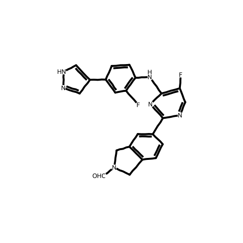 O=CN1Cc2ccc(-c3ncc(F)c(Nc4ccc(-c5cn[nH]c5)cc4F)n3)cc2C1